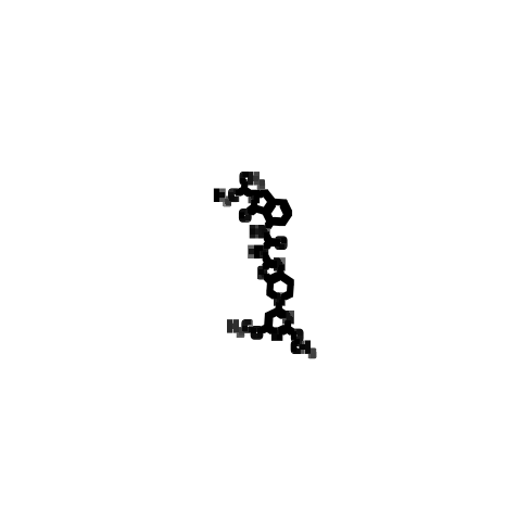 COc1cc(N2CCc3nc(NC(=O)Nc4cccc5c4C(=O)N(C(C)C)C5)sc3C2)nc(OC)n1